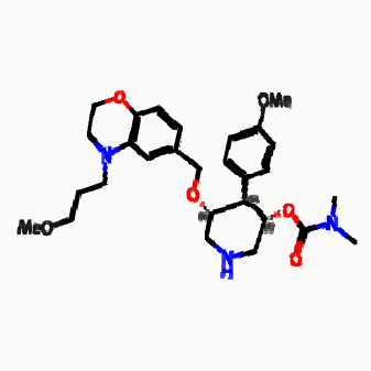 COCCCN1CCOc2ccc(CO[C@H]3CNC[C@@H](OC(=O)N(C)C)[C@@H]3c3ccc(OC)cc3)cc21